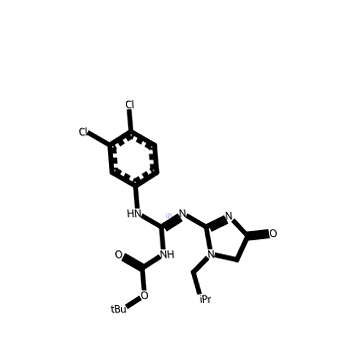 CC(C)CN1CC(=O)N=C1/N=C(\NC(=O)OC(C)(C)C)Nc1ccc(Cl)c(Cl)c1